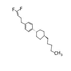 CCCCC[C@H]1CC[C@H](c2ccc(CCC=C(F)F)cc2)CC1